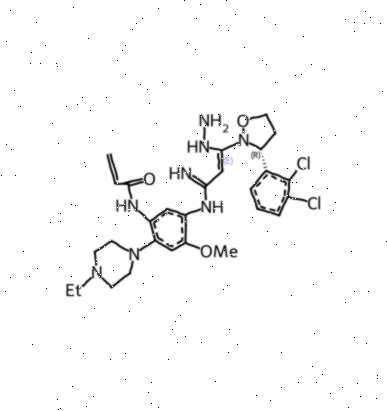 C=CC(=O)Nc1cc(NC(=N)/C=C(\NN)N2OCC[C@@H]2c2cccc(Cl)c2Cl)c(OC)cc1N1CCN(CC)CC1